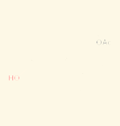 CC(=O)OCC(C)CCCO